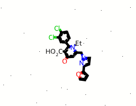 CCn1c(Cn2ccc(-c3ccco3)n2)cc(=O)c(C(=O)O)c1-c1ccc(Cl)c(Cl)c1